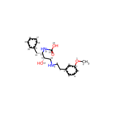 COc1cccc(CCNC[C@H](O)[C@H](Cc2ccccc2)NC(=O)O)c1